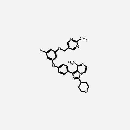 Cc1ncc(COc2cc(F)cc(Oc3ccc(-c4nc(C5CCOCC5)n5ccnc(N)c45)cc3)c2)cn1